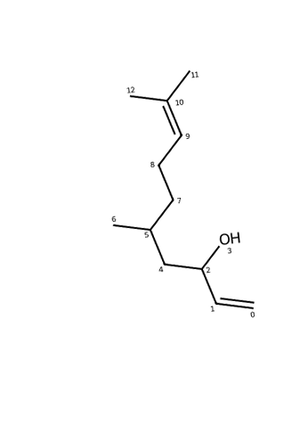 C=CC(O)CC(C)CCC=C(C)C